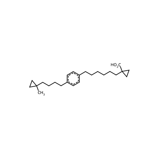 CC1(CCCCc2ccc(CCCCCCC3(C(=O)O)CC3)cc2)CC1